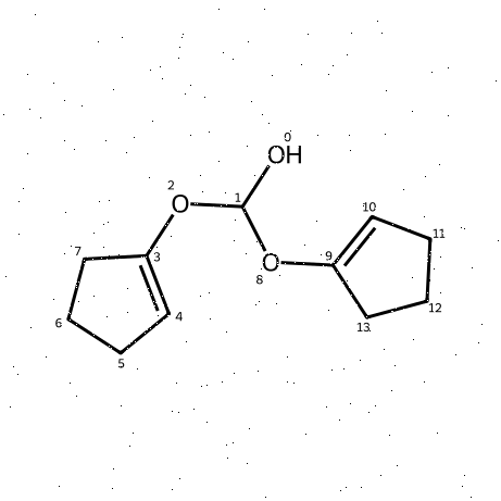 OC(OC1=CCCC1)OC1=CCCC1